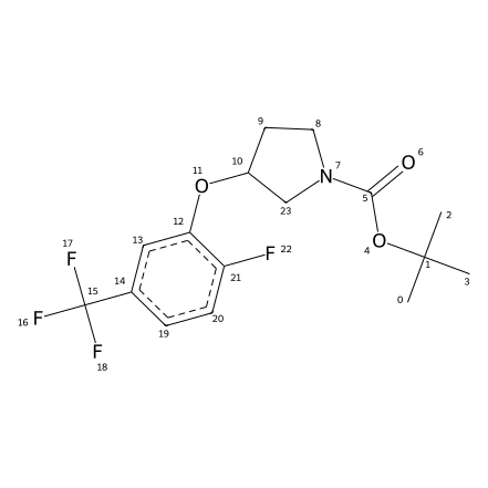 CC(C)(C)OC(=O)N1CCC(Oc2cc(C(F)(F)F)ccc2F)C1